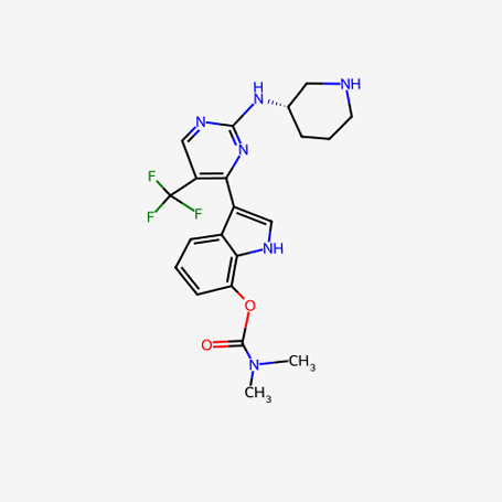 CN(C)C(=O)Oc1cccc2c(-c3nc(N[C@H]4CCCNC4)ncc3C(F)(F)F)c[nH]c12